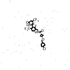 O=c1cc(C(F)(F)F)nc(-c2c(C(F)(F)F)ccc(CNC(=O)[C@H]3C[C@@H](OCc4ccc(Cl)cc4)C3)c2F)[nH]1